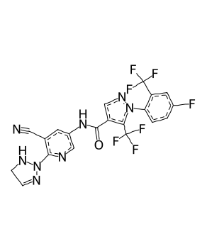 N#Cc1cc(NC(=O)c2cnn(-c3ccc(F)cc3C(F)(F)F)c2C(F)(F)F)cnc1N1N=CCN1